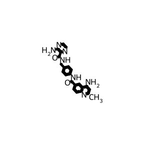 Cc1cc(N)c2cc(C(=O)Nc3ccc(CNC(=O)c4nccnc4N)cc3)ccc2n1